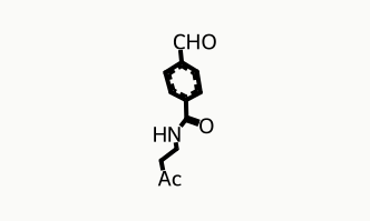 CC(=O)CCNC(=O)c1ccc(C=O)cc1